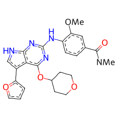 CNC(=O)c1ccc(Nc2nc(OC3CCOCC3)c3c(-c4ccco4)c[nH]c3n2)c(OC)c1